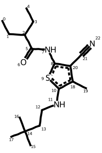 CCC(CC)C(=O)Nc1sc(NCCC(C)(C)C)c(C)c1C#N